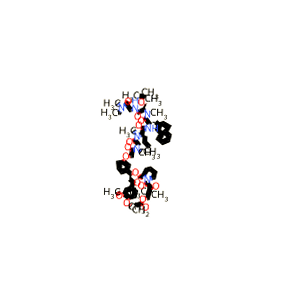 C=CC(=O)OCC(C)(C)C(=O)C(=O)N1CCCC[C@@H]1C(=O)O[C@@H](CCc1ccc(OC)c(OC)c1)c1cccc(OCC(=O)N(C)CC(=O)N(C)[C@H](CCCC)C(=O)N[C@@H](Cc2ccc3ccccc3c2)C(=O)N(C)[C@H](COC(C)(C)C)C(=O)NCC(=O)N(C)CC)c1